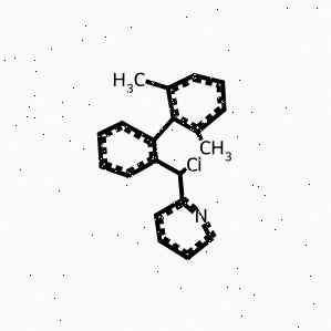 Cc1cccc(C)c1-c1ccccc1C(Cl)c1ccccn1